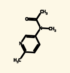 CC(=O)N(C)c1ccc(C)nc1